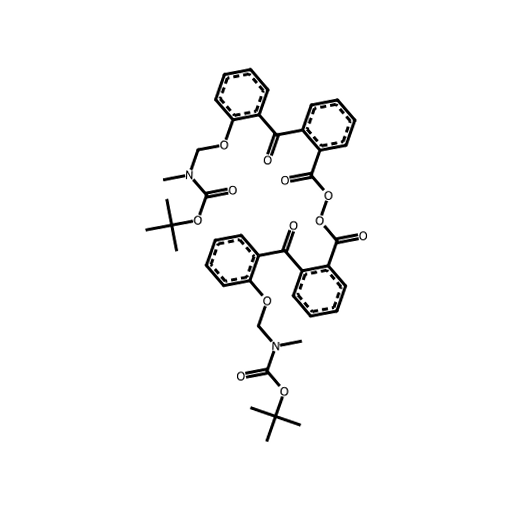 CN(COc1ccccc1C(=O)c1ccccc1C(=O)OOC(=O)c1ccccc1C(=O)c1ccccc1OCN(C)C(=O)OC(C)(C)C)C(=O)OC(C)(C)C